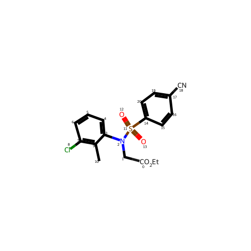 CCOC(=O)CN(c1cccc(Cl)c1C)S(=O)(=O)c1ccc(C#N)cc1